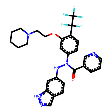 O=C(c1cccnc1)N(Nc1ccc2cn[nH]c2c1)c1ccc(C(F)(F)C(F)(F)F)c(OCCN2CCCCC2)c1